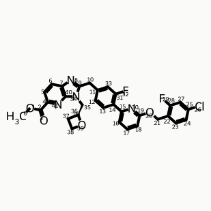 COC(=O)c1ccc2nc(Cc3ccc(-c4cccc(OCc5ccc(Cl)cc5F)n4)c(F)c3)n(C[C@@H]3CCO3)c2n1